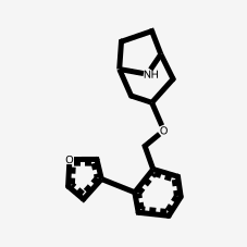 c1ccc(-c2ccoc2)c(COC2CC3CCC(C2)N3)c1